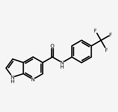 O=C(Nc1ccc(C(F)(F)F)cc1)c1cnc2[nH]ccc2c1